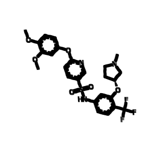 COc1ccc(Oc2ccc(S(=O)(=O)Nc3ccc(C(F)(F)F)c(O[C@@H]4CCN(C)C4)c3)cn2)cc1OC